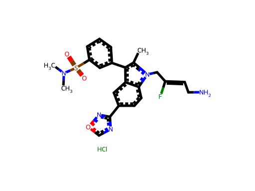 Cc1c(-c2cccc(S(=O)(=O)N(C)C)c2)c2cc(-c3ncon3)ccc2n1C/C(F)=C/CN.Cl